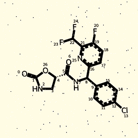 O=C1NC[C@@H](C(=O)NC(c2ccc(Cl)cc2)c2ccc(F)c(C(F)F)n2)O1